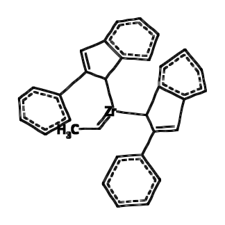 C[CH]=[Zr]([CH]1C(c2ccccc2)=Cc2ccccc21)[CH]1C(c2ccccc2)=Cc2ccccc21